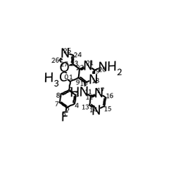 CC(c1ccc(F)cc1)c1c(Nc2cnccn2)nc(N)nc1-c1cnco1